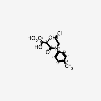 O=C(O)[C@H](O)[C@@H](O)C(=O)N(CCCl)c1ccc(C(F)(F)F)cc1